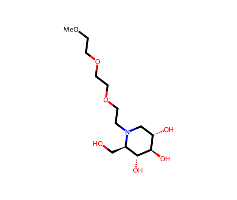 COCCOCCOCCN1C[C@H](O)[C@@H](O)[C@H](O)[C@H]1CO